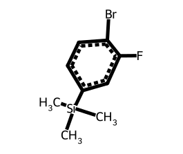 C[Si](C)(C)c1ccc(Br)c(F)c1